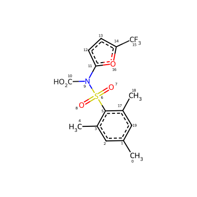 Cc1cc(C)c(S(=O)(=O)N(C(=O)O)c2ccc(C(F)(F)F)o2)c(C)c1